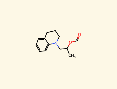 CC(CN1CCCc2ccccc21)OC=O